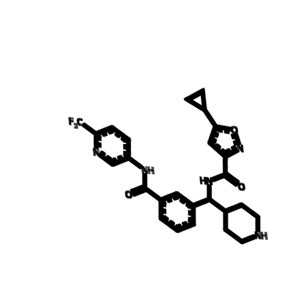 O=C(Nc1ccc(C(F)(F)F)nc1)c1cccc(C(NC(=O)c2cc(C3CC3)on2)C2CCNCC2)c1